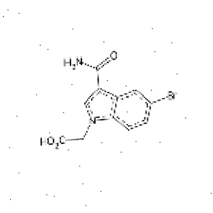 NC(=O)c1cn(CC(=O)O)c2ccc(Br)cc12